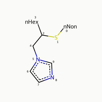 CCCCCCCCCSC(CCCCCC)Cn1ccnc1